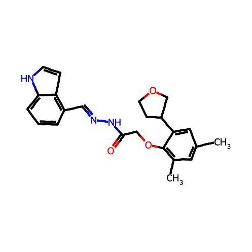 Cc1cc(C)c(OCC(=O)N/N=C/c2cccc3[nH]ccc23)c(C2CCOC2)c1